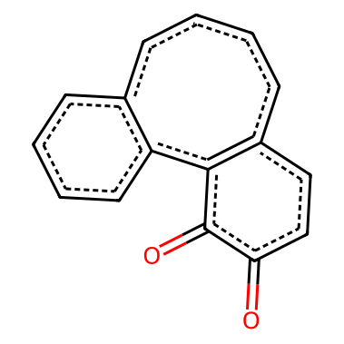 O=c1ccc2ccccc3ccccc3c=2c1=O